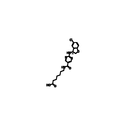 O=C(O)CCCCCCNC(=O)c1cnc(N[C@@H]2COc3ccc(Cl)cc32)nc1